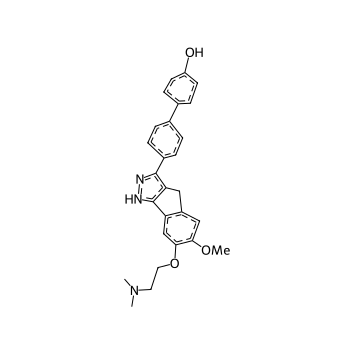 COc1cc2c(cc1OCCN(C)C)-c1[nH]nc(-c3ccc(-c4ccc(O)cc4)cc3)c1C2